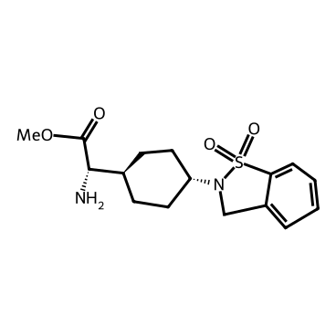 COC(=O)[C@@H](N)[C@H]1CC[C@H](N2Cc3ccccc3S2(=O)=O)CC1